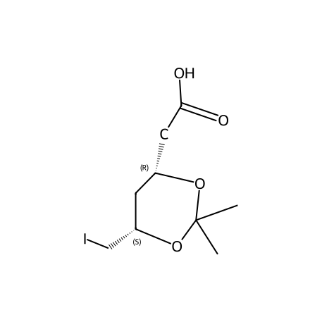 CC1(C)O[C@H](CI)C[C@H](CC(=O)O)O1